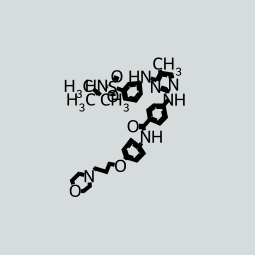 Cc1cnc(Nc2ccc(C(=O)Nc3ccc(OCCCN4CCOCC4)cc3)cc2)nc1Nc1cccc(S(=O)(=O)NC(C)(C)C)c1